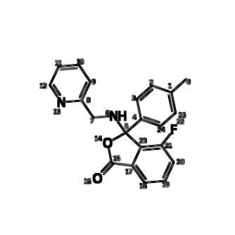 Cc1ccc(C2(NCc3ccccn3)OC(=O)c3cccc(F)c32)cc1